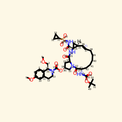 COC[C@@H]1c2ccc(OC)cc2CCN1C(=O)O[C@@H]1CC2C(=O)N[C@]3(C(=O)NS(=O)(=O)C4CC4)C[C@H]3/C=C/CCCCC[C@H](NC(=O)OC(C)(C)C)C(=O)N2C1